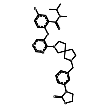 CC(C)N(C)C(=O)c1cc(F)ccc1Oc1cncnc1N1CCC2(CCN(Cc3cccc(N4CCOC4=O)c3)C2)C1